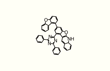 C1=CC2=Cc3c(oc4cc(-c5cccc6oc7ccccc7c56)cc(-c5nc(-c6ccccc6)nc(-c6ccccc6)n5)c34)NC2C=C1